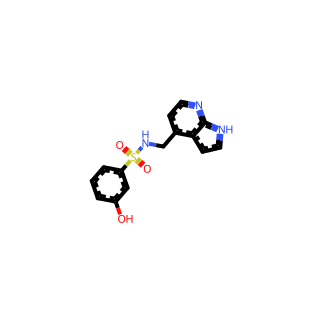 O=S(=O)(NCc1ccnc2[nH]ccc12)c1cccc(O)c1